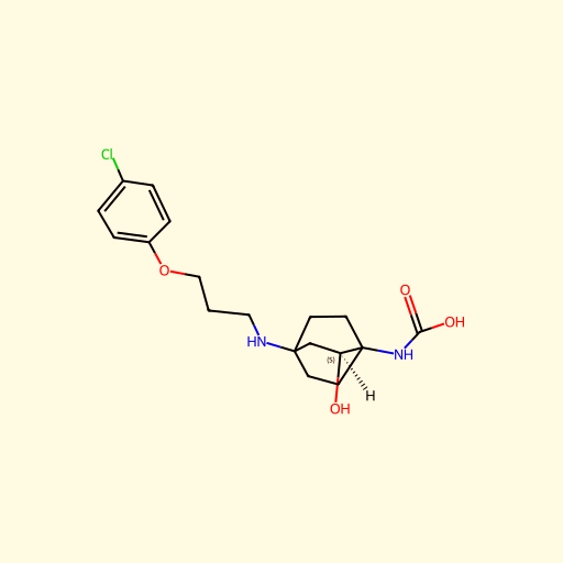 O=C(O)NC12CCC(NCCCOc3ccc(Cl)cc3)(CC1)C[C@@H]2O